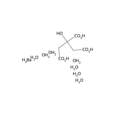 O.O.O.O.O.O.O.O=C(O)CC(O)(CC(=O)O)C(=O)O.[BaH2]